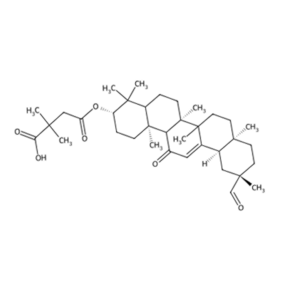 CC(C)(CC(=O)O[C@H]1CC[C@@]2(C)C(CC[C@]3(C)C2C(=O)C=C2[C@@H]4C[C@@](C)(C=O)CC[C@]4(C)CCC23C)C1(C)C)C(=O)O